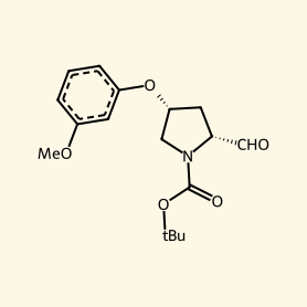 COc1cccc(O[C@@H]2C[C@H](C=O)N(C(=O)OC(C)(C)C)C2)c1